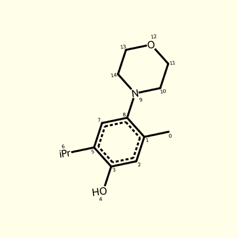 Cc1cc(O)c(C(C)C)cc1N1CCOCC1